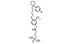 O=P(O)(O)CCCNCc1ccc(SCCCCC2(c3ccc(F)cc3)CCCC2)c(C(F)(F)F)c1